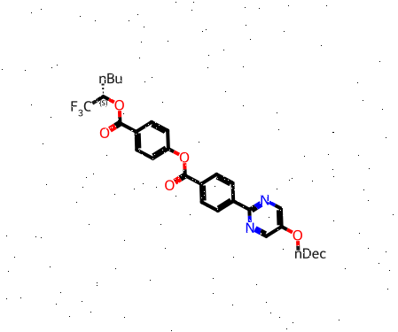 CCCCCCCCCCOc1cnc(-c2ccc(C(=O)Oc3ccc(C(=O)O[C@@H](CCCC)C(F)(F)F)cc3)cc2)nc1